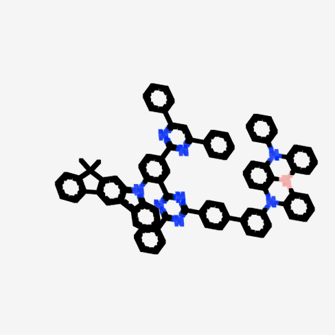 CC1(C)c2ccccc2-c2cc3c4ccccc4n(-c4ccc(-c5nc(-c6ccccc6)cc(-c6ccccc6)n5)cc4-c4nc(-c5ccccc5)nc(-c5ccc(-c6cccc(N7c8ccccc8B8c9ccccc9N(c9ccccc9)c9cccc7c98)c6)cc5)n4)c3cc21